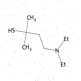 CCN(CC)CCC(C)(C)S